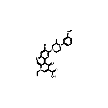 CCn1cc(C(=O)O)c(=O)c2c3cc(N4CCN(c5cccc(OC)c5)C(C)C4)c(F)cc3ncc21